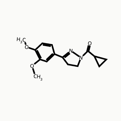 COc1ccc(C2=NN(C(=O)C3CC3)CC2)cc1OC